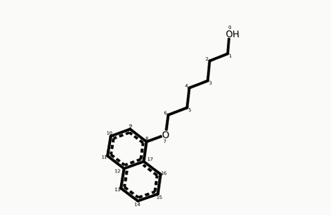 OCCCCCCOc1cccc2ccccc12